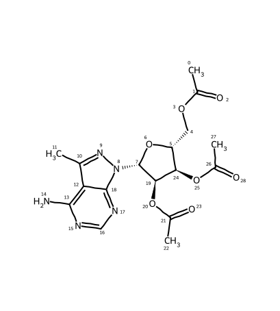 CC(=O)OC[C@H]1O[C@@H](n2nc(C)c3c(N)ncnc32)[C@H](OC(C)=O)[C@@H]1OC(C)=O